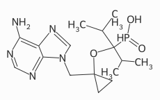 CC(C)C(OC1(Cn2cnc3c(N)ncnc32)CC1)(C(C)C)[PH](=O)O